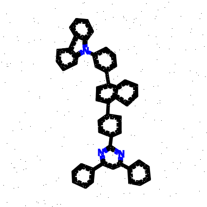 c1ccc(-c2cc(-c3ccccc3)nc(-c3ccc(-c4ccc(-c5cccc(-n6c7ccccc7c7ccccc76)c5)c5ccccc45)cc3)n2)cc1